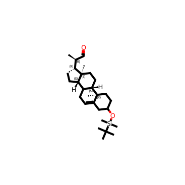 C[C@@H](C=O)[C@H]1CC[C@H]2C3CC=C4CC(O[Si](C)(C)C(C)(C)C)CC[C@]4(C)[C@H]3CC[C@]12C